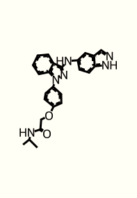 CC(C)NC(=O)COc1ccc(-n2nc(Nc3ccc4[nH]ncc4c3)c3ccccc32)cc1